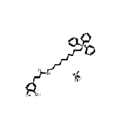 CS(=O)(=O)O.O=C(/C=C/c1ccc(O)c(O)c1)NCCCCCCCCCC[PH](c1ccccc1)(c1ccccc1)c1ccccc1